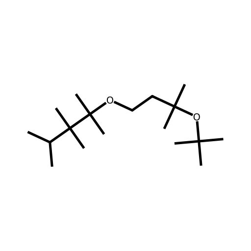 CC(C)C(C)(C)C(C)(C)OCCC(C)(C)OC(C)(C)C